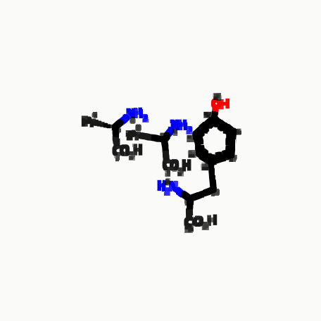 CC(C)C(N)C(=O)O.CC(C)[C@H](N)C(=O)O.NC(Cc1ccc(O)cc1)C(=O)O